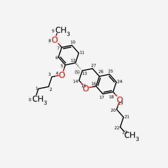 CCCCOC1=CC(OC)=CCC1[C@H]1COc2cc(OCCCC)ccc2C1